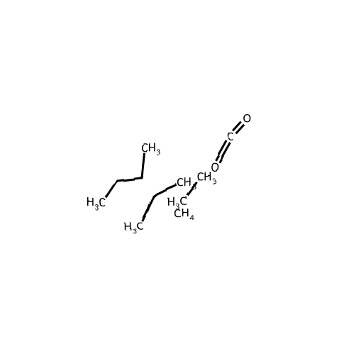 C.CC.CCC.CCCC.O=C=O